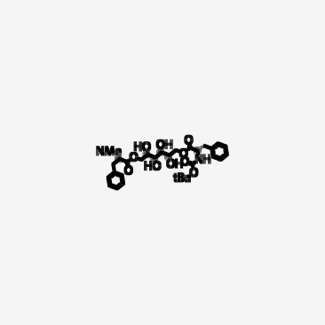 CN[C@@H](Cc1ccccc1)C(=O)OC[C@@H](O)[C@@H](O)[C@H](O)[C@@H](O)COC(=O)[C@H](Cc1ccccc1)NC(=O)OC(C)(C)C